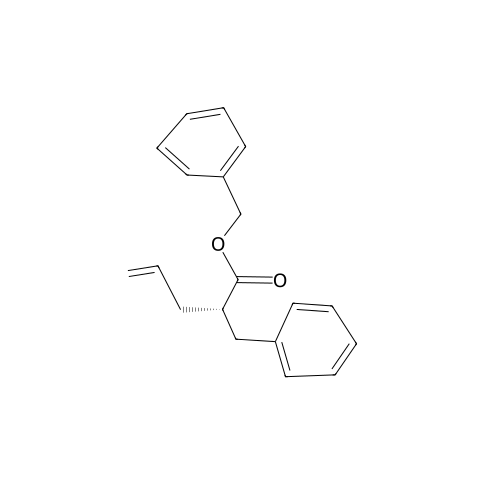 C=CC[C@@H](Cc1ccccc1)C(=O)OCc1ccccc1